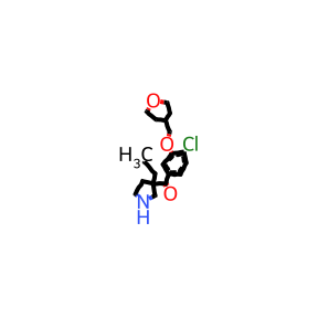 CCCC1(C(=O)c2ccc(Cl)c(OCC3CCOCC3)c2)CCNC1